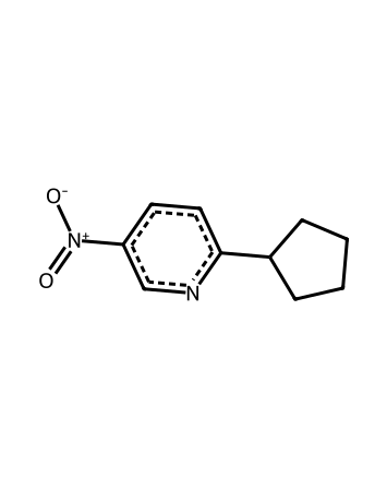 O=[N+]([O-])c1ccc(C2CCCC2)nc1